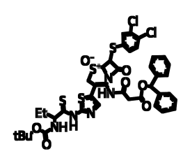 CCC(NC(=O)OC(C)(C)C)C(=S)Nc1ncc(C2=C(NC(=O)CC(=O)OC(c3ccccc3)c3ccccc3)N3C(=O)C(Sc4ccc(Cl)c(Cl)c4)C3[S+]([O-])C2)s1